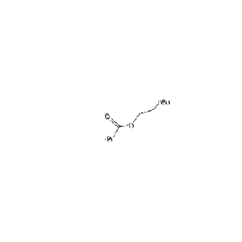 CCCCCCOC(=O)[C](C)C